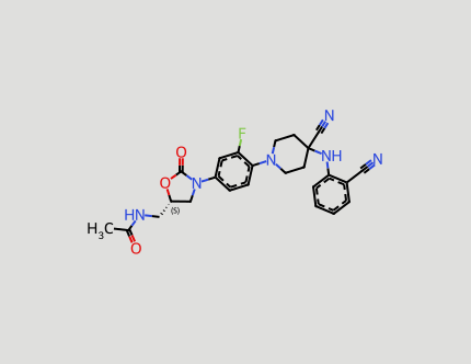 CC(=O)NC[C@H]1CN(c2ccc(N3CCC(C#N)(Nc4ccccc4C#N)CC3)c(F)c2)C(=O)O1